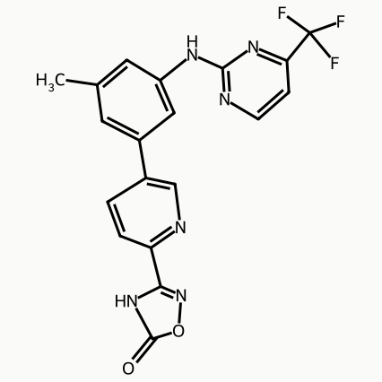 Cc1cc(Nc2nccc(C(F)(F)F)n2)cc(-c2ccc(-c3noc(=O)[nH]3)nc2)c1